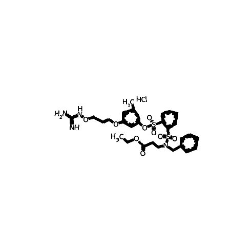 CCOC(=O)CCN(Cc1ccccc1)S(=O)(=O)c1ccccc1S(=O)(=O)Oc1cc(C)cc(OCCCONC(=N)N)c1.Cl